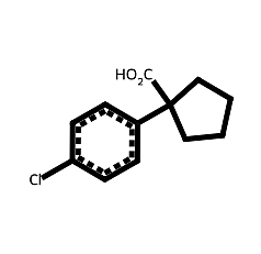 O=C(O)C1(c2ccc(Cl)cc2)CCCC1